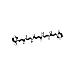 O=C(CCC(=O)NCCNC(=O)CCN1COC=CC1=O)NCCNC(=O)CCN1COC=CC1=O